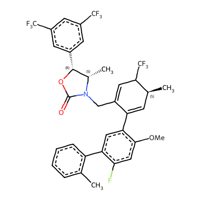 COc1cc(F)c(-c2ccccc2C)cc1C1=C[C@H](C)C(C(F)(F)F)C=C1CN1C(=O)O[C@H](c2cc(C(F)(F)F)cc(C(F)(F)F)c2)[C@@H]1C